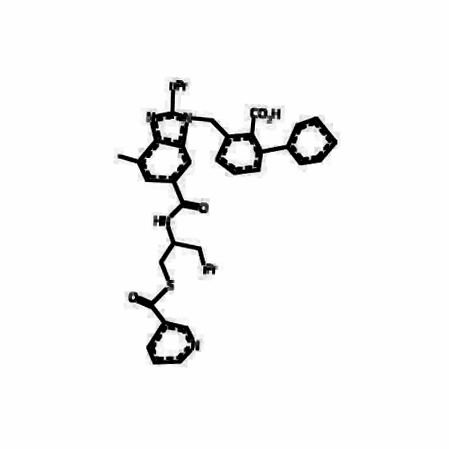 CCCc1nc2c(C)cc(C(=O)NC(CSC(=O)c3cccnc3)CC(C)C)cc2n1Cc1cccc(-c2ccccc2)c1C(=O)O